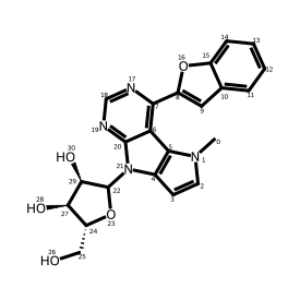 Cn1ccc2c1c1c(-c3cc4ccccc4o3)ncnc1n2C1O[C@H](CO)[C@@H](O)[C@H]1O